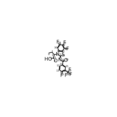 CCC(C(=O)O)n1/c(=N/C(=O)c2ccc(F)c(C(F)(F)F)c2)sc2c(F)c(F)c(F)cc21